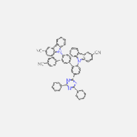 N#Cc1ccc(-c2cc(-c3cc(-c4nc(-c5ccccc5)nc(-c5ccccc5)n4)ccc3-n3c4ccccc4c4cc(C#N)ccc43)ccc2-n2c3ccccc3c3cc(C#N)ccc32)cc1